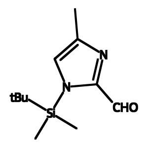 Cc1cn([Si](C)(C)C(C)(C)C)c(C=O)n1